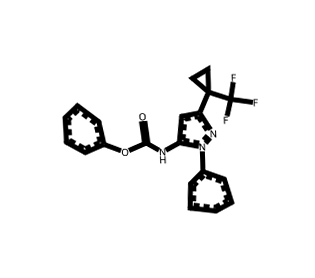 O=C(Nc1cc(C2(C(F)(F)F)CC2)nn1-c1ccccc1)Oc1ccccc1